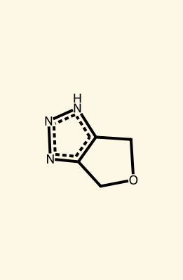 C1OCc2[nH]nnc21